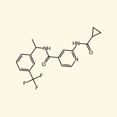 CC(NC(=O)c1ccnc(NC(=O)C2CC2)c1)c1cccc(C(F)(F)F)c1